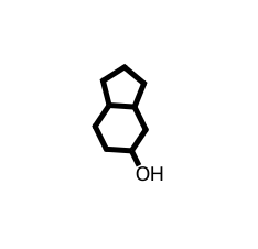 OC1CCC2CCCC2C1